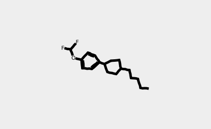 CCCCCC1CC[C](c2ccc(OC(F)F)cc2)CC1